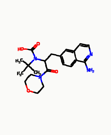 CC(C)(C)N(C(=O)O)C(Cc1ccc2c(N)nccc2c1)C(=O)N1CCOCC1